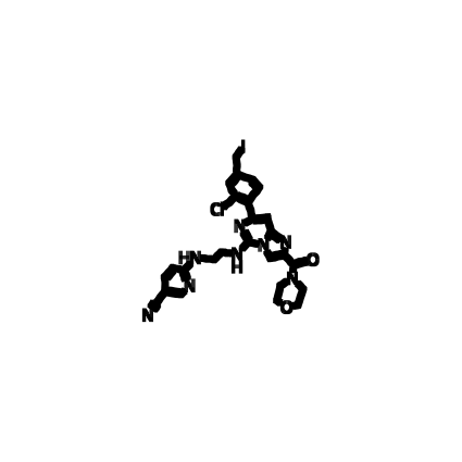 N#Cc1ccc(NCCNc2nc(-c3ccc(CI)cc3Cl)cc3nc(C(=O)N4CCOCC4)cn23)nc1